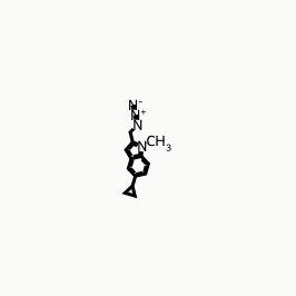 Cn1c(CN=[N+]=[N-])cc2cc(C3CC3)ccc21